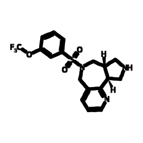 O=S(=O)(c1cccc(OC(F)(F)F)c1)N1Cc2cccnc2[C@@H]2CNC[C@H]2C1